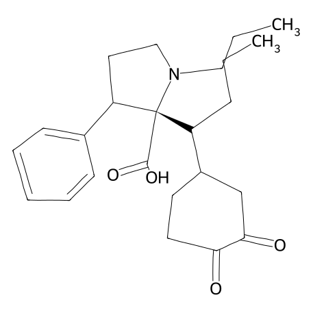 CCCC(C1CCC(=O)C(=O)C1)[C@@]1(C(=O)O)C(c2ccccc2)CCN1CCC